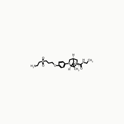 CCNC(=O)N1C[C@@H]2CN(c3ccc(OCCCS(=O)(=O)CCN)cc3)[C@H](C1)C(C)(C)C2